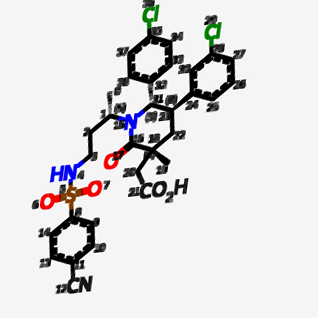 C[C@@H](CCNS(=O)(=O)c1ccc(C#N)cc1)N1C(=O)[C@@](C)(CC(=O)O)C[C@H](c2cccc(Cl)c2)[C@H]1c1ccc(Cl)cc1